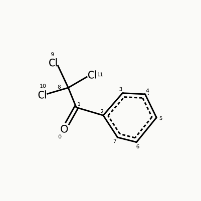 O=C(c1c[c]ccc1)C(Cl)(Cl)Cl